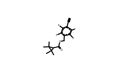 C#Cc1c(F)c(F)c(COC(=O)C2C(C)(C)C2(C)C)c(F)c1F